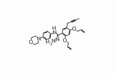 C=CCOc1cc(OCC=C)c(/C(=N/N)Nc2ccc(N3CCOCC3)cc2)cc1CC#CC